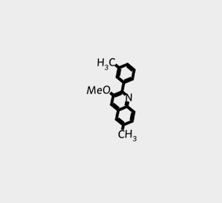 COc1cc2cc(C)ccc2nc1-c1cccc(C)c1